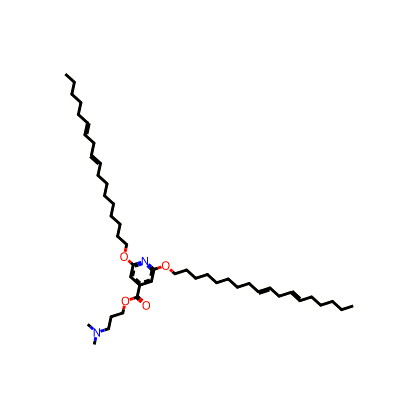 CCCCCC=CCC=CCCCCCCCCOc1cc(C(=O)OCCCN(C)C)cc(OCCCCCCCCC=CCC=CCCCCC)n1